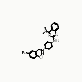 CN(C)c1nc(N[C@H]2CC[C@@H](NCc3cc(Br)ccc3Cl)CC2)nc2ccccc12